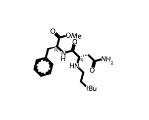 COC(=O)[C@H](Cc1ccccc1)NC(=O)[C@H](CC(N)=O)NCCC(C)(C)C